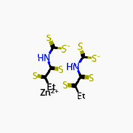 CCC(=S)C(=S)NC(=S)[S-].CCC(=S)C(=S)NC(=S)[S-].[Zn+2]